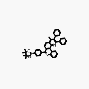 Cc1c(-c2ccccc2)c(-c2ccccc2)nc2c1ccc1c(-c3ccc(B4OC(C)(C)C(C)(C)O4)cc3)nc3ccccc3c12